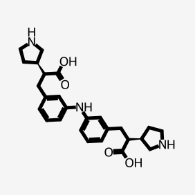 O=C(O)C(Cc1cccc(Nc2cccc(CC(C(=O)O)[C@H]3CCNC3)c2)c1)[C@H]1CCNC1